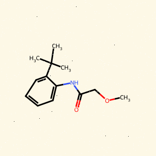 COCC(=O)Nc1ccccc1C(C)(C)C